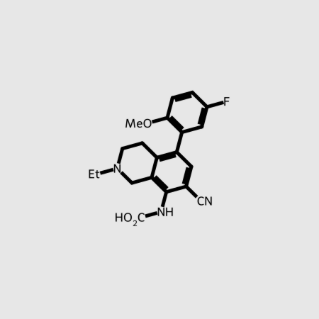 CCN1CCc2c(-c3cc(F)ccc3OC)cc(C#N)c(NC(=O)O)c2C1